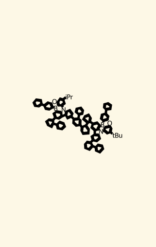 CC(C)c1cc2c3c(c1)-n1c4ccc(-c5ccc(-c6ccccc6-c6ccccc6-c6cc7c8c(c6)c6cc(-c9ccccc9-c9ccccc9)ccc6n8-c6cc(C(C)(C)C)cc8c6B7c6ccc(-c7ccccc7)cc6O8)cc5-c5ccccc5)cc4c4cc(-c5ccccc5-c5ccccc5)cc(c41)B3c1ccc(-c3ccccc3)cc1O2